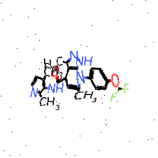 CC1=CC(C(=O)Nc2c(C)ccnc2C)c2c(C)n[nH]c2N1c1ccc(OC(F)F)cc1